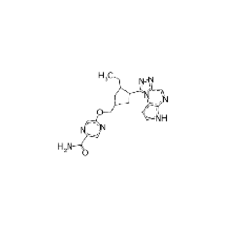 CCC1CC(COc2cnc(C(N)=O)cn2)CC1c1nnc2cnc3[nH]ccc3n12